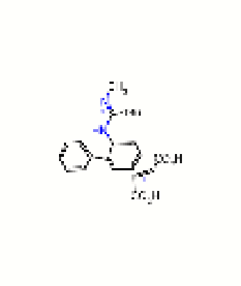 C/N=C(/Nc1ccccc1-c1ccccc1)C(C)(C)C.O=C(O)/C=C/C(=O)O